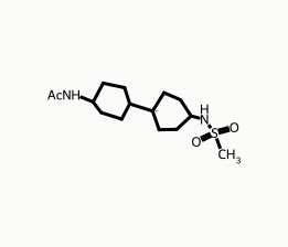 CC(=O)NC1CCC([C]2CCC(NS(C)(=O)=O)CC2)CC1